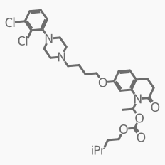 CC(C)CCOC(=O)OC(C)N1C(=O)CCc2ccc(OCCCCN3CCN(c4cccc(Cl)c4Cl)CC3)cc21